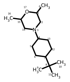 CC1CN(C2CCC(C(C)(C)C)CC2)CC(C)O1